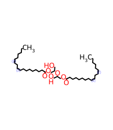 CCCCC/C=C\C/C=C\CCCCCCCC(=O)OCC(CO)OC(CO)COC(=O)CCCCCCC/C=C\C/C=C\CCCCC